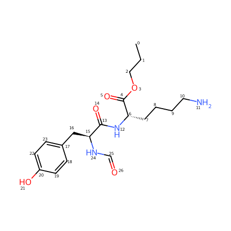 CCCOC(=O)[C@H](CCCCN)NC(=O)[C@H](Cc1ccc(O)cc1)NC=O